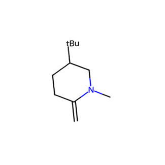 C=C1CCC(C(C)(C)C)CN1C